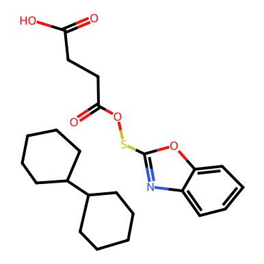 C1CCC(C2CCCCC2)CC1.O=C(O)CCC(=O)OSc1nc2ccccc2o1